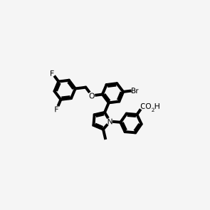 Cc1ccc(-c2cc(Br)ccc2OCc2cc(F)cc(F)c2)n1-c1cccc(C(=O)O)c1